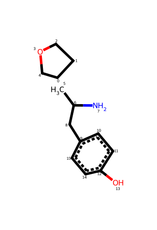 C1CCOC1.CC(N)Cc1ccc(O)cc1